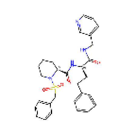 O=C(NCc1cccnc1)[C@@H](CCc1ccccc1)NC(=O)[C@@H]1CCCCN1S(=O)(=O)Cc1ccccc1